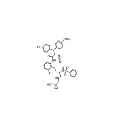 COc1ccc([C@H](c2ccc(Cl)cc2)[C@H](N=[N+]=[N-])C(=O)Nc2cccc(F)c2CC[C@@H](CNCC2(CO)CC2)NS(=O)(=O)c2ccccc2)cn1